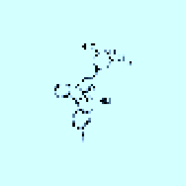 CC1CN(CCN2c3ccccc3N(c3ccc(F)cc3F)S2(=O)=O)CC(C)N1.Cl